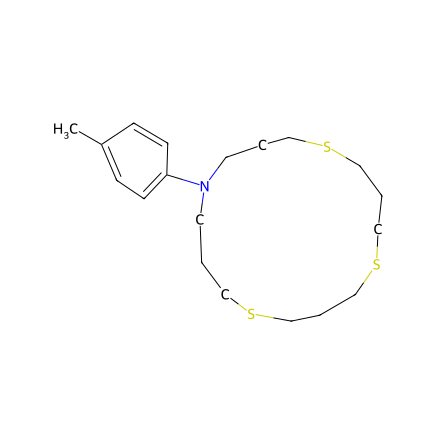 Cc1ccc(N2CCCSCCCSCCCSCCC2)cc1